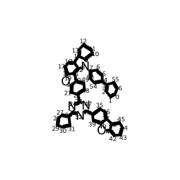 c1ccc(-c2ccc(-n3c4ccccc4c4ccc5oc6cc(-c7nc(-c8ccccc8)nc(-c8ccc9c(c8)oc8ccccc89)n7)ccc6c5c43)cc2)cc1